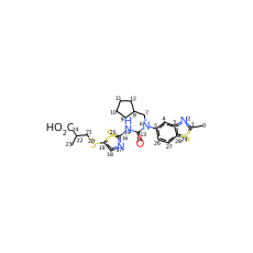 Cc1nc2cc(N(CC3CCCC3)C(=O)Nc3ncc(SCC(C)C(=O)O)s3)ccc2s1